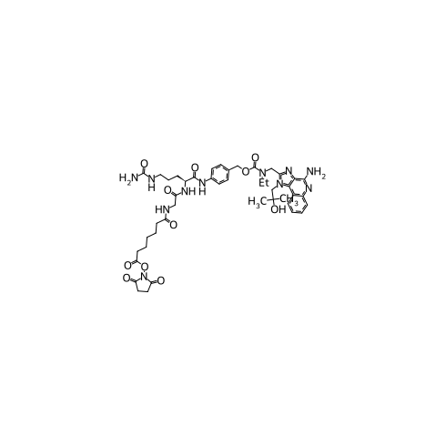 CCN(Cc1nc2c(N)nc3ccccc3c2n1CC(C)(C)O)C(=O)OCc1ccc(NC(=O)[C@H](CCCNC(N)=O)NC(=O)CNC(=O)CCCCCC(=O)ON2C(=O)CCC2=O)cc1